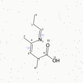 CC/C=N\C(C)=C/C(C)C(=O)O